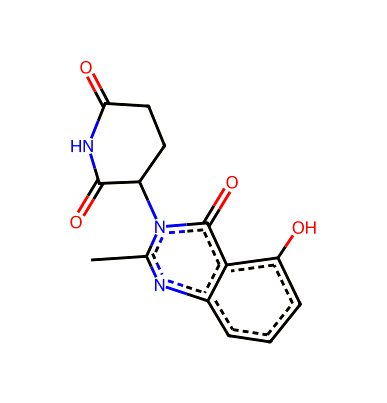 Cc1nc2cccc(O)c2c(=O)n1C1CCC(=O)NC1=O